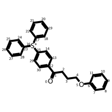 O=C(CCCOc1ccccc1)c1ccc([S+](c2ccccc2)c2ccccc2)cc1